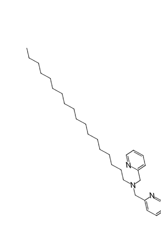 CCCCCCCCCCCCCCCCCCN(Cc1ccccn1)Cc1ccccn1